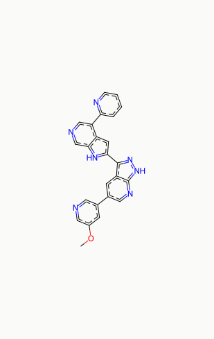 COc1cncc(-c2cnc3[nH]nc(-c4cc5c(-c6ccccn6)cncc5[nH]4)c3c2)c1